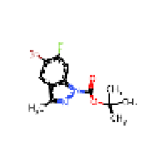 Cc1nn(C(=O)OC(C)(C)C)c2cc(F)c(Br)cc12